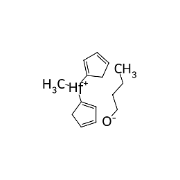 CCCC[O-].[CH3][Hf+]([C]1=CC=CC1)[C]1=CC=CC1